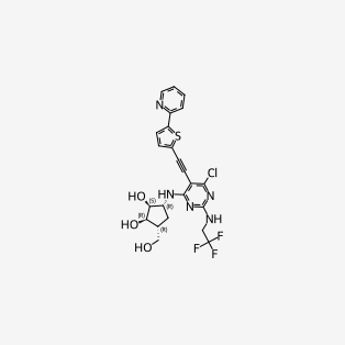 OC[C@H]1C[C@@H](Nc2nc(NCC(F)(F)F)nc(Cl)c2C#Cc2ccc(-c3ccccn3)s2)[C@H](O)[C@@H]1O